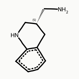 NC[C@H]1CNc2ccccc2C1